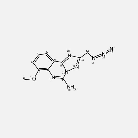 COc1cccc2c1nc(N)n1nc(CN=[N+]=[N-])nc21